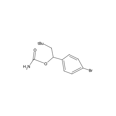 CC(C)(C)CC(OC(N)=O)c1ccc(Br)cc1